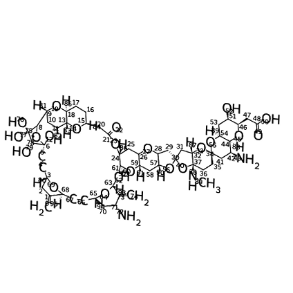 C=C1C[C@@H]2CC[C@]34OC([C@H]5C[C@@H](O3)[C@H]3O[C@H](CC[C@@H]3O5)CC(=O)O[C@@H]3CC5OC6C[C@@]7(C[C@@H]8O[C@@]9(CC[C@]8(NC)O7)C[C@H](N)[C@@H]7O[C@H](CC(=O)O)[C@H](O)C[C@@H]7O9)O[C@@H]6C[C@@H]5O[C@H]3C[C@H]3O[C@@H](CC[C@@H]1O2)C[C@@H](N)C3=C)C(O)(O)[C@H]4O